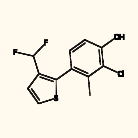 Cc1c(-c2sccc2C(F)F)ccc(O)c1Cl